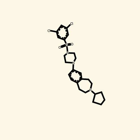 O=S(=O)(c1cc(Cl)cc(Cl)c1)N1CCN(c2ccc3c(c2)CCN(C2CCCC2)CC3)CC1